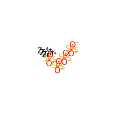 [O-]P([O-])(=S)[S-].[O-]P([O-])(=S)[S-].[O-]P([O-])(=S)[S-].[O-]P([O-])(=S)[S-].[Zr+4].[Zr+4].[Zr+4]